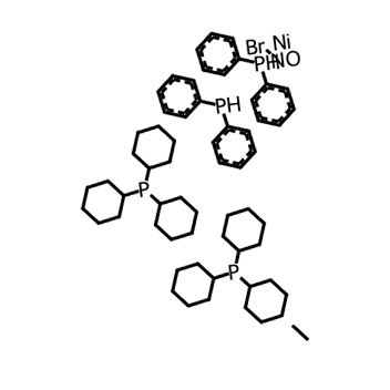 C1CCC(P(C2CCCCC2)C2CCCCC2)CC1.C1CCC(P(C2CCCCC2)C2CCCCC2)CC1.CC.O=NBr.[Ni].c1ccc(Pc2ccccc2)cc1.c1ccc(Pc2ccccc2)cc1